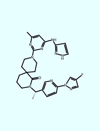 Cc1cc(Nc2cc[nH]n2)nc(N2CCC3(CCCN([C@@H](C)c4ccc(-n5cc(F)cn5)nc4)C3=O)CC2)n1